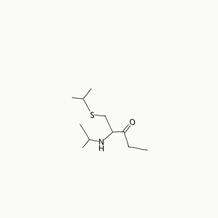 CCC(=O)C(CSC(C)C)NC(C)C